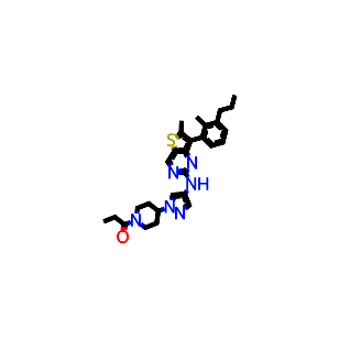 CCCc1cccc(-c2c(C)sc3cnc(Nc4cnn(C5CCN(C(=O)CC)CC5)c4)nc23)c1C